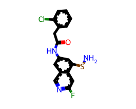 NSc1cc(NC(=O)Cc2ccccc2Cl)cc2cnc(F)cc12